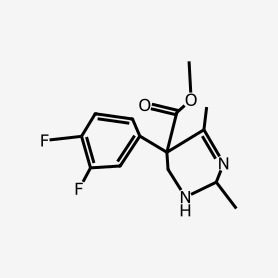 COC(=O)C1(c2ccc(F)c(F)c2)CNC(C)N=C1C